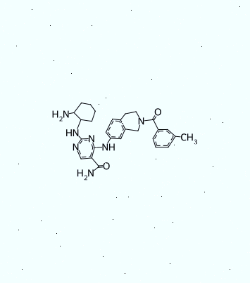 Cc1cccc(C(=O)N2CCc3ccc(Nc4nc(NC5CCCCC5N)ncc4C(N)=O)cc3C2)c1